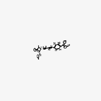 COC[C@H]1C(=O)C[C@@H]1C#CC#Cc1ccc(C(=O)OC)cc1